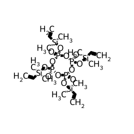 C=C[Si](C)(C)OP1(=O)OP(=O)(O[Si](C)(C)C=C)OP(=O)(O[Si](C)(C)C=C)OP(=O)(O[Si](C)(C)C=C)O1